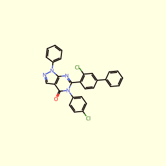 O=c1c2cnn(-c3ccccc3)c2nc(-c2ccc(-c3ccccc3)cc2Cl)n1-c1ccc(Cl)cc1